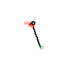 O=C(O)c1ccccc1OCCCCCCCCCCCCCCCCCl